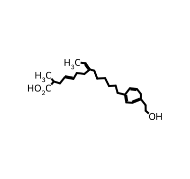 C/C=C(\CCC=CCC(C)C(=O)O)CCCCCCC1=CC=C(CCO)CC=C1